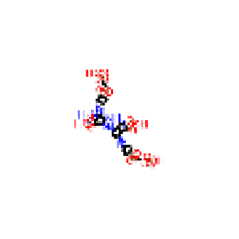 Nc1c(/N=N/c2ccc(/N=N/c3ccc(S(=O)(=O)CCOS(=O)(=O)O)cc3)c3cc(S(=O)(=O)O)ccc23)cc(S(=O)(=O)O)c(N)c1/N=N/c1ccc(S(=O)(=O)CCOS(=O)(=O)O)cc1